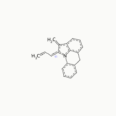 C=C/C=c1\c(=C)c2cccc3c2n1-c1ccccc1C3